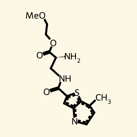 COCCOC(=O)[C@H](N)CNC(=O)c1cc2nccc(C)c2s1